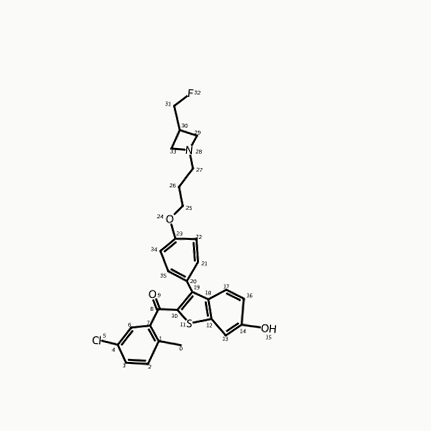 Cc1ccc(Cl)cc1C(=O)c1sc2cc(O)ccc2c1-c1ccc(OCCCN2CC(CF)C2)cc1